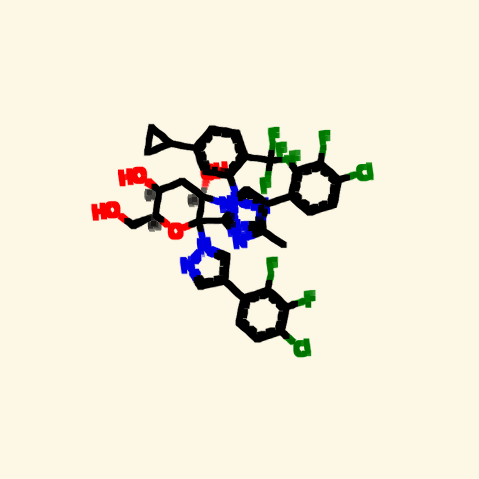 Cc1nc(C2(n3cc(-c4ccc(Cl)c(F)c4F)cn3)O[C@@H](CO)[C@@H](O)C[C@@]2(O)n2cc(-c3ccc(Cl)c(F)c3F)cn2)n(-c2cc(C3CC3)ccc2C(F)(F)F)n1